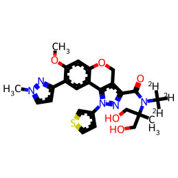 [2H]C([2H])([2H])N(C(=O)c1nn(-c2ccsc2)c2c1COc1cc(OC)c(-c3ccn(C)n3)cc1-2)C(C)(CO)CO